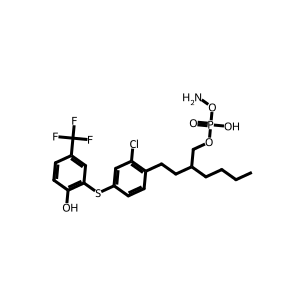 CCCCC(CCc1ccc(Sc2cc(C(F)(F)F)ccc2O)cc1Cl)COP(=O)(O)ON